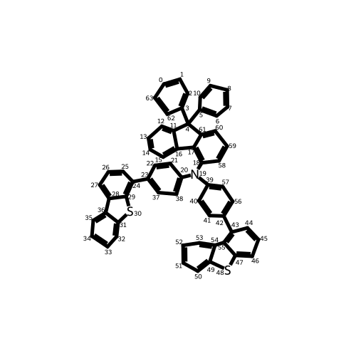 c1ccc(C2(c3ccccc3)c3ccccc3-c3c(N(c4ccc(-c5cccc6c5sc5ccccc56)cc4)c4ccc(-c5cccc6sc7ccccc7c56)cc4)cccc32)cc1